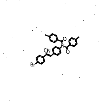 Cc1ccc(C(=O)N(C(=O)c2ccc(C)cc2)c2ccc(/C=C(\C#N)c3ccc(Br)cc3)cc2)cc1